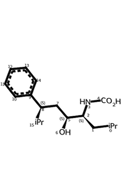 CC(C)C[C@H](NC(=O)O)[C@@H](O)C[C@H](c1ccccc1)C(C)C